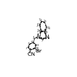 N#Cc1ccc(Cn2cnc3ccccc32)cc1Br